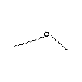 CCCCCCCCCCCCCCC[n+]1cccc(CCCCCCCCCCC)c1